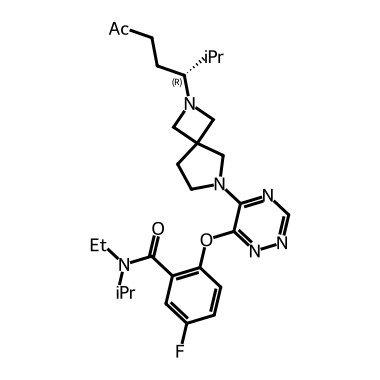 CCN(C(=O)c1cc(F)ccc1Oc1nncnc1N1CCC2(C1)CN([C@H](CCC(C)=O)C(C)C)C2)C(C)C